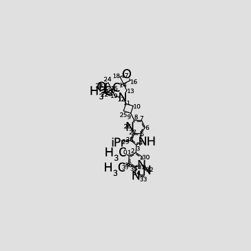 Cc1c(-c2[nH]c3ccc(C4CC(N(CC5(C)COC5)CC5(C)COC5)C4)nc3c2C(C)C)cn2ncnc2c1C